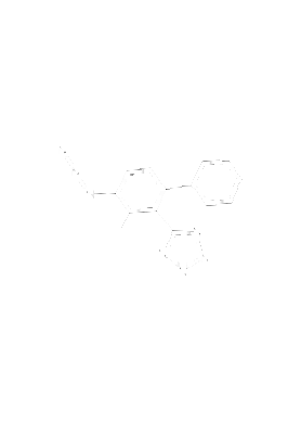 Cc1c(N=[N+]=[N-])ccc(-c2ccccc2)c1-c1nnn[nH]1